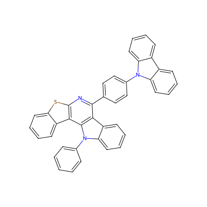 c1ccc(-n2c3ccccc3c3c(-c4ccc(-n5c6ccccc6c6ccccc65)cc4)nc4sc5ccccc5c4c32)cc1